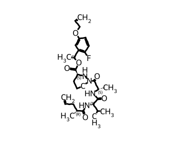 C=CCOc1ccc(F)c([C@@H](C)OC(=O)[C@@H]2CCCN(C(=O)[C@H](C)NC(=O)[C@@H](NC(=O)[C@H](C)CC=C)C(C)C)N2)c1